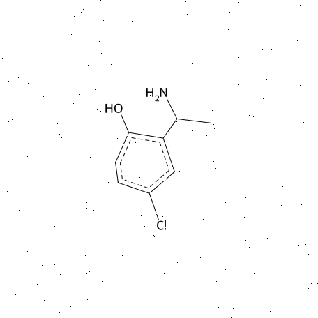 CC(N)c1cc(Cl)ccc1O